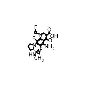 CNC1([C@@H]2CCCN2c2c(F)c(N)c3c(=O)c(C(=O)O)cn(C4CC4F)c3c2F)CC1